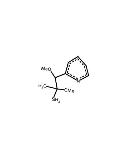 COC(c1ccccn1)C(C)([SiH3])OC